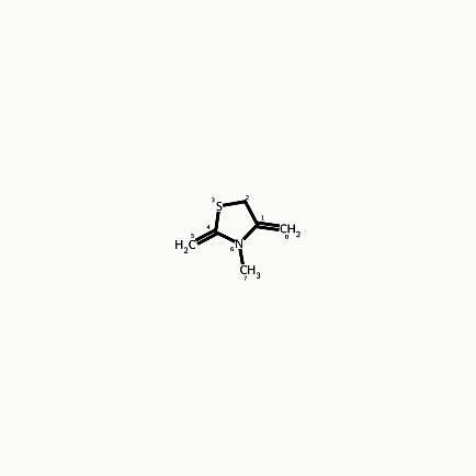 C=C1CSC(=C)N1C